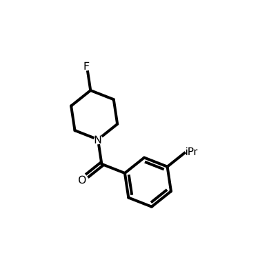 CC(C)c1cccc(C(=O)N2CCC(F)CC2)c1